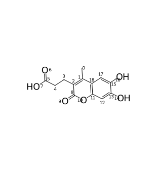 Cc1c(CCC(=O)O)c(=O)oc2cc(O)c(O)cc12